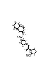 N#C[C@@H]1CCCN1C(=O)CN1CC[C@H](C(=O)Nc2cnc3ccccc3c2)C1